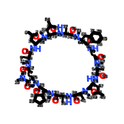 CC(C)CC1NC(=O)[C@H](C)N(C)C(=O)C[C@@H](C(=O)N(C)C)N(C)C(=O)[C@H](C2CCCC2)N(C)C(=O)[C@H](C)NC(=O)[C@H](C)N(C)C(=O)[C@H](CC(C)C)NC(=O)[C@H](C)N(C)C(=O)CNC(=O)[C@H](Cc2ccccc2)N(C)C(=O)[C@H](C)NC(=O)[C@H](CC(C)C)N(C)C1=O